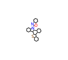 c1ccc2oc(-n3c4ccccc4c4c5sc6ccccc6c5c5ccccc5c43)nc2c1